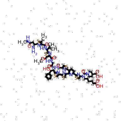 CNC(=O)C[C@H](N)c1nc(C(=O)NC(c2nc(C(=O)NCC(=O)N[C@H](c3nc(-c4nc(-c5nc(-c6nc(N(CCCCCC(=O)O)C(=O)N7CCC(C(=O)O)CC7)cs6)ccc5-c5nc(C=O)cs5)cs4)cs3)[C@@H](O)c3ccccc3)c(COC)s2)C(C)C)c(C)s1